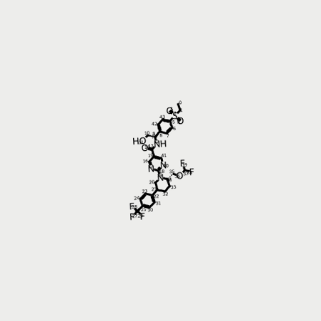 CCS(=O)(=O)c1ccc([C@H](CO)NC(=O)c2cnc(N3CC(c4ccc(C(F)(F)F)cc4)CC[C@H]3COC(F)F)nc2)cc1